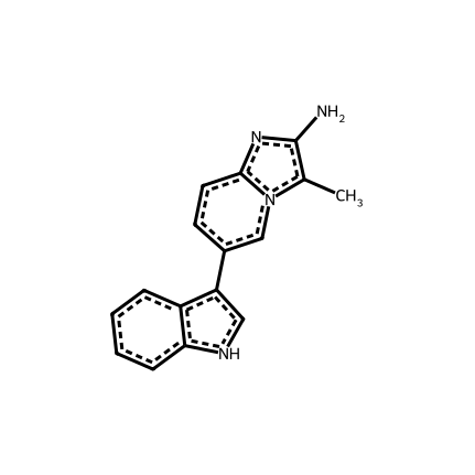 Cc1c(N)nc2ccc(-c3c[nH]c4ccccc34)cn12